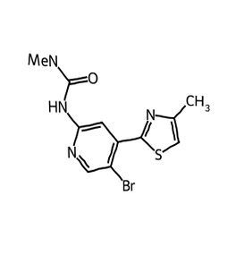 CNC(=O)Nc1cc(-c2nc(C)cs2)c(Br)cn1